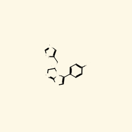 Clc1ccc(C2=CSC3=NC[C@@H](Cc4cnc[nH]4)N23)cc1